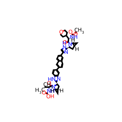 COC(=O)N[C@H](C(=O)N1[C@@H]2C[C@H]2C[C@H]1c1nc(-c2ccc3cc(-c4ccc5[nH]c([C@@H]6C[C@H]7C[C@H]7N6C(=O)[C@@H](NC(=O)O)C(C)C)nc5c4)ccc3c2)c[nH]1)C1CCOCC1